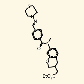 CCOC(=O)CC1COc2cc(N(C)C(=O)c3ccc(C=NN4CCSCC4)cc3)ccc2C1